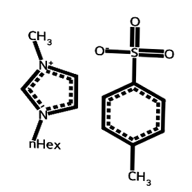 CCCCCCn1cc[n+](C)c1.Cc1ccc(S(=O)(=O)[O-])cc1